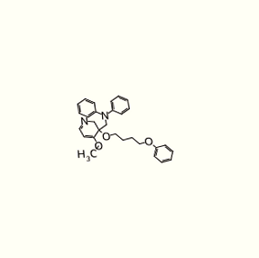 COC1=CC=NCC1(CN(c1ccccc1)c1ccccc1)OCCCCOc1ccccc1